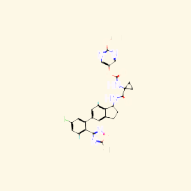 COc1ncc(OC(=O)NC2(C(=O)NC3CCc4cc(-c5cc(Cl)cc(F)c5-c5noc(C)n5)cc(F)c43)CC2)cn1